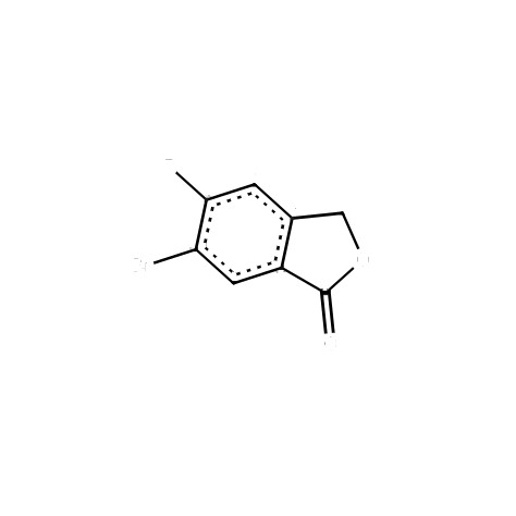 O=C1OCc2cc(F)c(Br)cc21